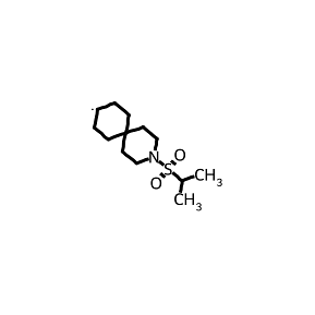 CC(C)S(=O)(=O)N1CCC2(CC[CH]CC2)CC1